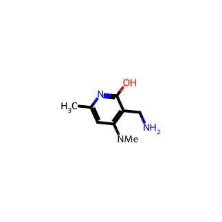 CNc1cc(C)nc(O)c1CN